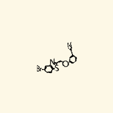 N#Cc1cccc(OCc2nc3cc(Br)ccc3s2)c1